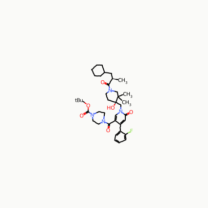 C[C@H](CC1CCCCC1)C(=O)N1CC[C@@](O)(Cn2cc(C(=O)N3CCN(C(=O)OC(C)(C)C)CC3)c(-c3ccccc3F)cc2=O)C(C)(C)C1